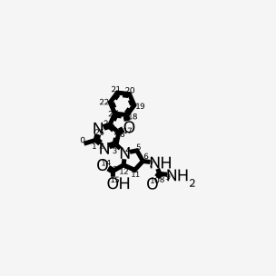 Cc1nc(N2CC(NC(N)=O)CC2C(=O)O)c2oc3ccccc3c2n1